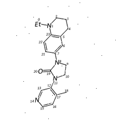 CCN1CCCc2cc(N3CCN(c4cnccc4C)C3=O)ccc21